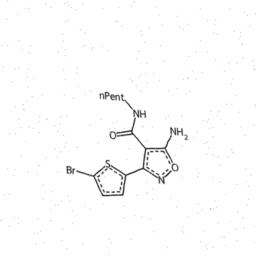 CCCCCNC(=O)c1c(-c2ccc(Br)s2)noc1N